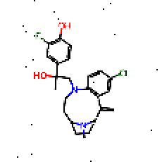 C=C1c2cc(Cl)ccc2N(CC(C)(O)c2ccc(O)c(F)c2)CCC2CCC1N2C